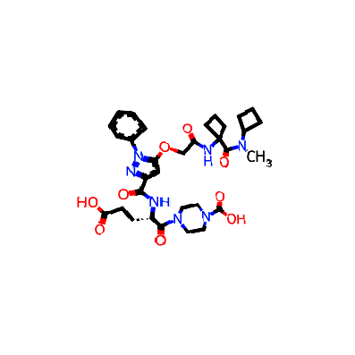 CN(C(=O)C1(NC(=O)COc2cc(C(=O)N[C@@H](CCC(=O)O)C(=O)N3CCN(C(=O)O)CC3)nn2-c2ccccc2)CCC1)C1CCC1